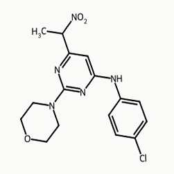 CC(c1cc(Nc2ccc(Cl)cc2)nc(N2CCOCC2)n1)[N+](=O)[O-]